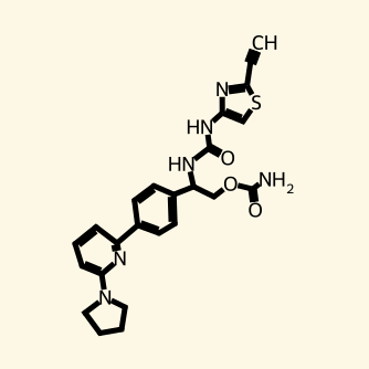 C#Cc1nc(NC(=O)NC(COC(N)=O)c2ccc(-c3cccc(N4CCCC4)n3)cc2)cs1